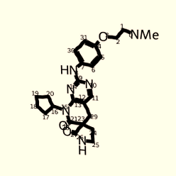 CNCCOc1ccc(Nc2ncc3c(n2)N(C2CCCC2)C(=O)C2(CCNC2=O)C3)cc1